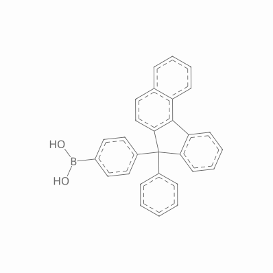 OB(O)c1ccc(C2(c3ccccc3)c3ccccc3-c3c2ccc2ccccc32)cc1